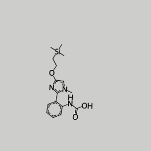 Cn1cc(OCC[Si](C)(C)C)nc1-c1ccccc1NC(=O)O